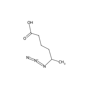 CC(CCCC(=O)O)N=[N+]=[N-]